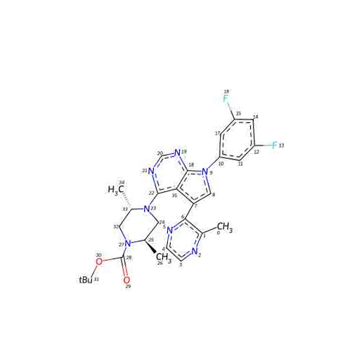 Cc1nccnc1-c1cn(-c2cc(F)cc(F)c2)c2ncnc(N3C[C@@H](C)N(C(=O)OC(C)(C)C)C[C@@H]3C)c12